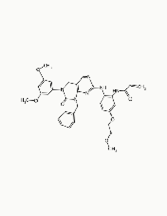 C=CC(=O)Nc1cc(OCCOC)ccc1Nc1ncc2c(n1)N(Cc1ccccc1)C(=O)N(c1cc(OC)cc(OC)c1)C2